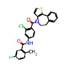 Cc1ccc(F)cc1C(=O)Nc1ccc(C(=O)N2CCc3ccccc3-c3sccc32)c(Cl)c1